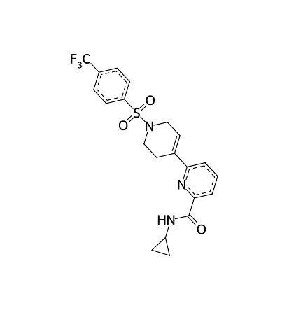 O=C(NC1CC1)c1cccc(C2=CCN(S(=O)(=O)c3ccc(C(F)(F)F)cc3)CC2)n1